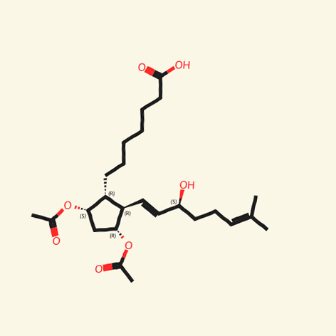 CC(=O)O[C@H]1C[C@@H](OC(C)=O)[C@H](C=C[C@@H](O)CCC=C(C)C)[C@H]1CCCCCCC(=O)O